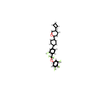 Fc1cc(C2CCC(C3CCC(C4CCC4)CO3)CC2)ccc1C(F)(F)Oc1cc(F)c(F)c(F)c1